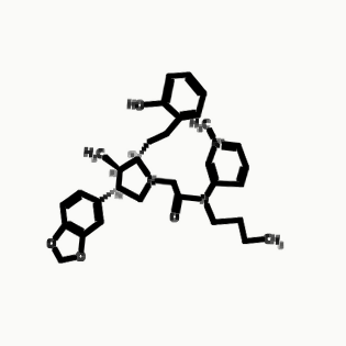 CCCCN(C(=O)CN1C[C@H](c2ccc3c(c2)OCO3)[C@@H](C)[C@@H]1CCc1ccccc1O)c1ccc[n+](C)c1